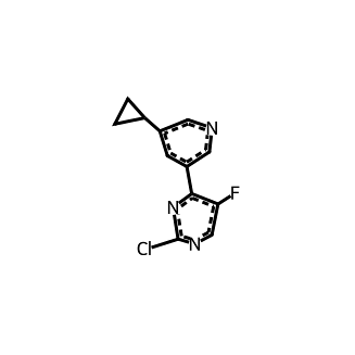 Fc1cnc(Cl)nc1-c1cncc(C2CC2)c1